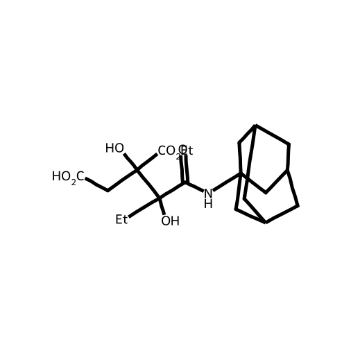 CCOC(=O)C(O)(CC(=O)O)C(O)(CC)C(=O)NC12CC3CC(CC(C3)C1)C2